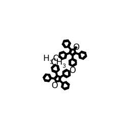 Cc1ccc(C2=C(c3ccccc3)C(=O)C(c3ccccc3)=C2c2ccc(Oc3ccc(C4=C(c5ccccc5)C(=O)C(c5ccccc5)=C4c4ccc(C)cc4)cc3)cc2)cc1